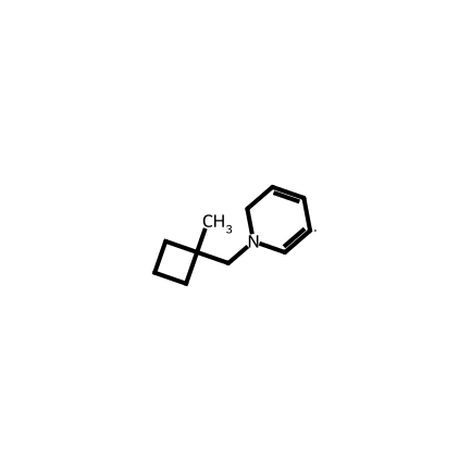 CC1(CN2C=[C]C=CC2)CCC1